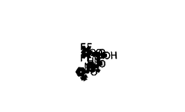 CC[C@@H](C(=O)N[C@@H](CC(=O)O)C(=O)COc1c(F)c(F)cc(F)c1F)c1ccnn(Cc2ccccc2C(C)(C)C)c1=O